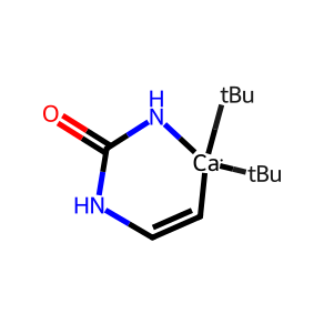 C[C](C)(C)[Ca]1([C](C)(C)C)[CH]=CNC(=O)[NH]1